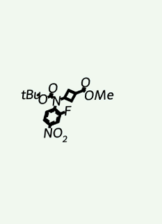 COC(=O)C1CC(N(C(=O)OC(C)(C)C)c2ccc([N+](=O)[O-])cc2F)C1